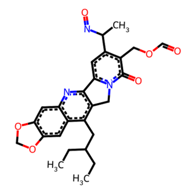 CCC(CC)Cc1c2c(nc3cc4c(cc13)OCO4)-c1cc(C(C)N=O)c(COC=O)c(=O)n1C2